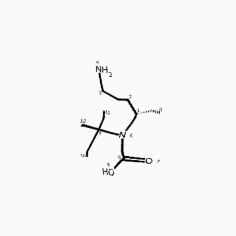 C[C@@H](CCN)N(C(=O)O)C(C)(C)C